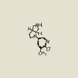 Cc1cc(N2CC[C@@H]3CNC[C@@H]32)cnc1Cl